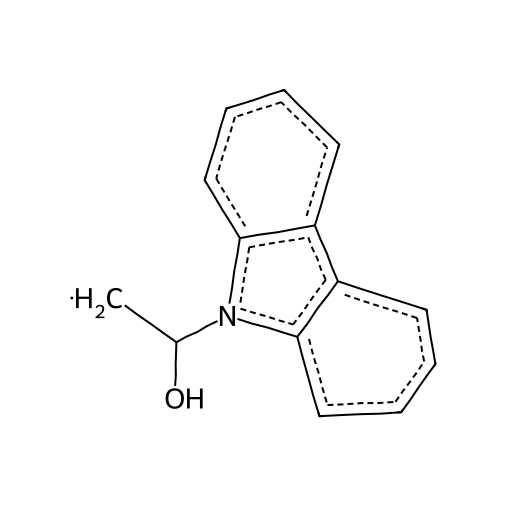 [CH2]C(O)n1c2ccccc2c2ccccc21